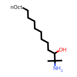 CCCCCCCCCCCCCCCCC(O)C(C)(C)N